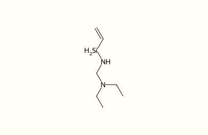 C=C[SiH2]NCN(CC)CC